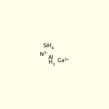 [AlH3].[Ga+3].[N-3].[SiH4]